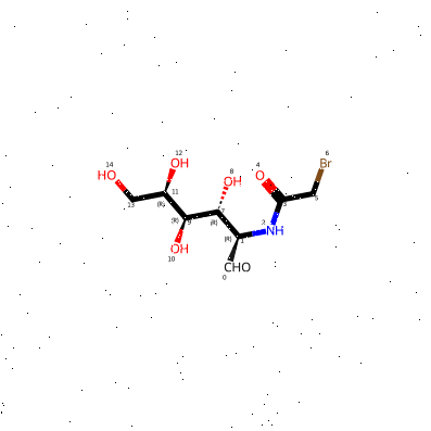 O=C[C@H](NC(=O)CBr)[C@@H](O)[C@@H](O)[C@H](O)CO